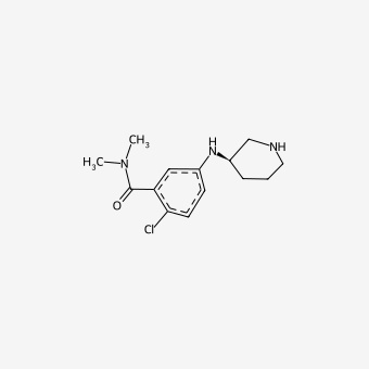 CN(C)C(=O)c1cc(N[C@@H]2CCCNC2)ccc1Cl